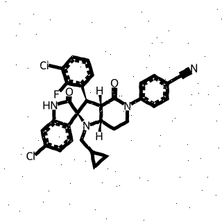 N#Cc1ccc(N2CC[C@H]3[C@@H](C2=O)[C@H](c2cccc(Cl)c2F)[C@]2(C(=O)Nc4cc(Cl)ccc42)N3CC2CC2)cc1